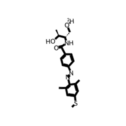 [2H]OC[C@H](NC(=O)c1ccc(/N=N/c2c(C)cc(SC)cc2C)cc1)[C@H](C)O